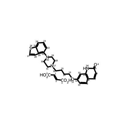 O=C(O)C=CC(=O)O.O=c1ccc2ccc(OCCCCN3CCN(c4cccc5sccc45)CC3)cc2[nH]1